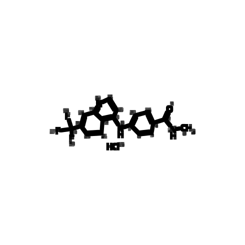 CNC(=O)c1ccc(Nc2ccnc3cc(C(F)(F)F)ccc23)cc1.Cl